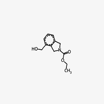 CCOC(=O)N1Cc2cccc(CO)c2C1